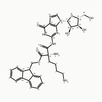 NCCCC[C@](N)(C(=O)Nc1nc2c(ncn2[C@@H]2O[C@H](CO)[C@@H](O)[C@H]2O)c(=O)[nH]1)C(=O)OCC1c2ccccc2-c2ccccc21